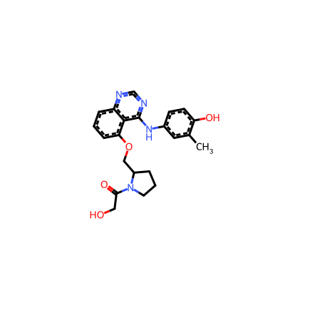 Cc1cc(Nc2ncnc3cccc(OCC4CCCN4C(=O)CO)c23)ccc1O